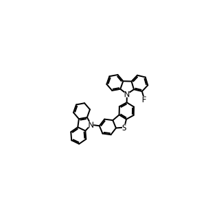 Fc1cccc2c3ccccc3n(-c3ccc4c(c3)C3C=C(n5c6c(c7ccccc75)C=CCC6)C=CC3S4)c12